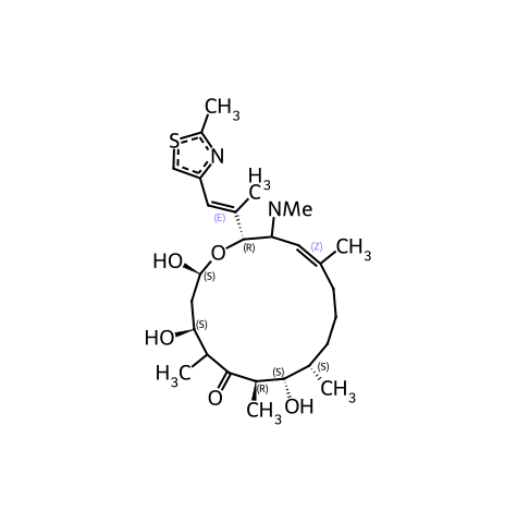 CNC1/C=C(/C)CCC[C@H](C)[C@H](O)[C@@H](C)C(=O)C(C)[C@@H](O)C[C@@H](O)O[C@@H]1/C(C)=C/c1csc(C)n1